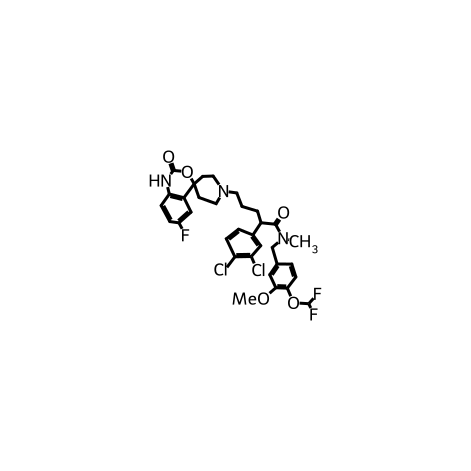 COc1cc(CN(C)C(=O)C(CCCN2CCC3(CC2)OC(=O)Nc2ccc(F)cc23)c2ccc(Cl)c(Cl)c2)ccc1OC(F)F